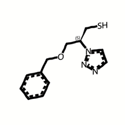 SC[C@H](COCc1ccccc1)n1ccnn1